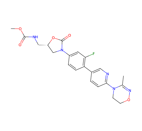 COC(=O)NC[C@H]1CN(c2ccc(-c3ccc(N4CCON=C4C)nc3)c(F)c2)C(=O)O1